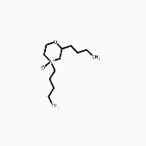 CCCCC[N+]1([O-])CCOC(CCCC)C1